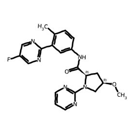 CO[C@@H]1C[C@H](C(=O)Nc2ccc(C)c(-c3ncc(F)cn3)c2)N(c2ncccn2)C1